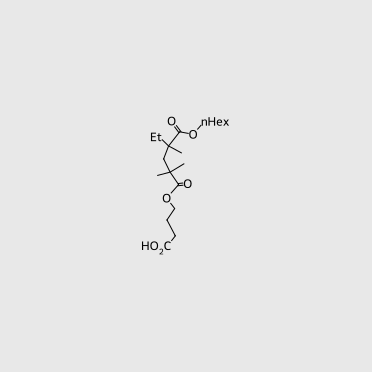 CCCCCCOC(=O)C(C)(CC)CC(C)(C)C(=O)OCCCC(=O)O